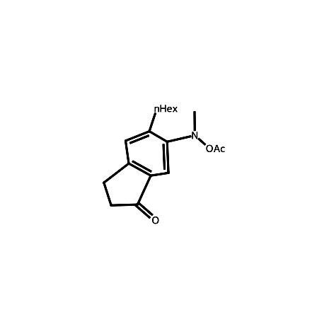 CCCCCCc1cc2c(cc1N(C)OC(C)=O)C(=O)CC2